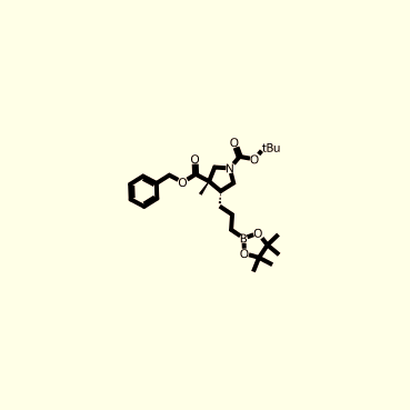 CC(C)(C)OC(=O)N1C[C@H](CCCB2OC(C)(C)C(C)(C)O2)[C@](C)(C(=O)OCc2ccccc2)C1